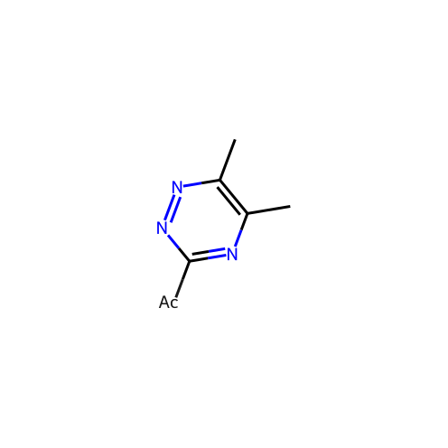 CC(=O)c1nnc(C)c(C)n1